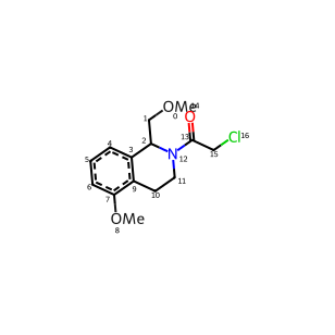 COCC1c2cccc(OC)c2CCN1C(=O)CCl